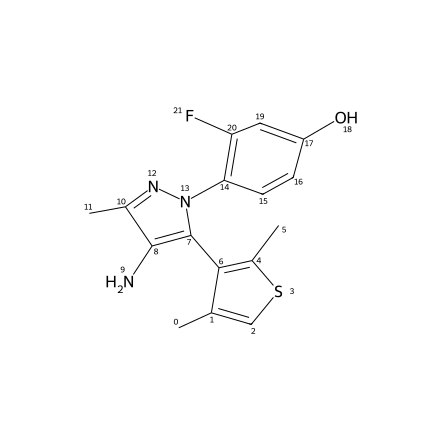 Cc1csc(C)c1-c1c(N)c(C)nn1-c1ccc(O)cc1F